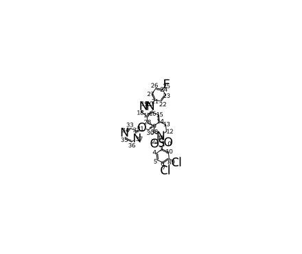 O=S(=O)(c1ccc(Cl)c(Cl)c1)N1CCC2=Cc3c(cnn3-c3ccc(F)cc3)CC2(COc2cnccn2)C1